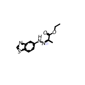 CCOC(=O)/C(C)=N\Nc1ccc2scnc2c1